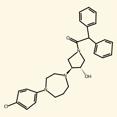 O=C(C(c1ccccc1)c1ccccc1)N1C[C@H](O)[C@@H](N2CCCN(c3ccc(Cl)cc3)CC2)C1